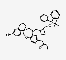 COC(=O)Cc1ccc2c(c1)N(C[C@@H]1CC[C@H]1CO[Si](c1ccccc1)(c1ccccc1)C(C)(C)C)C[C@@]1(CCCc3cc(Cl)ccc31)CO2